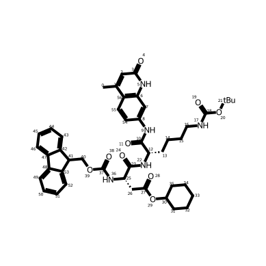 Cc1cc(=O)[nH]c2cc(NC(=O)[C@H](CCCCNC(=O)OC(C)(C)C)NC(=O)[C@H](CC(=O)OC3CCCCC3)NC(=O)OCC3c4ccccc4-c4ccccc43)ccc12